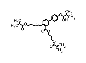 C=C(C)C(=O)OCCCOCc1ccc(-c2ccc(OC(O)C(=C)C)cc2)cc1C(=O)OCCCOC(=O)C(=C)C